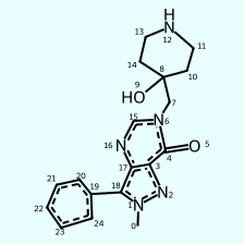 Cn1nc2c(=O)n(CC3(O)CCNCC3)cnc2c1-c1ccccc1